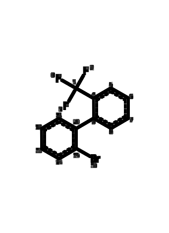 FC(F)(F)c1ccccc1-c1ccccc1Br